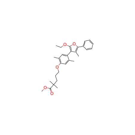 CCOc1oc(-c2ccccc2)c(C)c1-c1cc(C)c(OCCCC(C)(C)C(=O)OC)cc1C